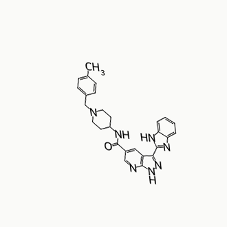 Cc1ccc(CN2CCC(NC(=O)c3cnc4[nH]nc(-c5nc6ccccc6[nH]5)c4c3)CC2)cc1